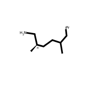 CC(C)CC(C)CC[C@@H](C)CN